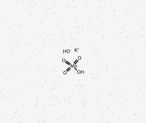 [K+].[OH-].[O]=[Mn](=[O])(=[O])[OH]